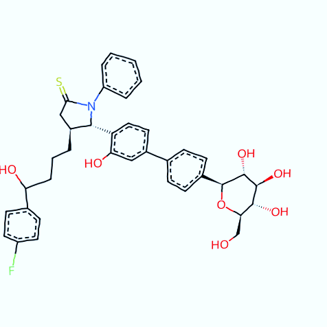 OC[C@H]1O[C@@H](c2ccc(-c3ccc([C@@H]4[C@@H](CCCC(O)c5ccc(F)cc5)CC(=S)N4c4ccccc4)c(O)c3)cc2)[C@H](O)[C@@H](O)[C@@H]1O